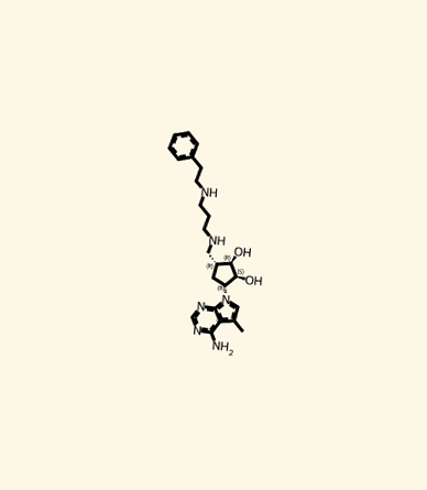 Cc1cn([C@@H]2C[C@H](CNCCCNCCc3ccccc3)[C@@H](O)[C@H]2O)c2ncnc(N)c12